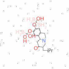 BC(B)(O)Oc1cc2c(cc1OC(B)(O)O)C1CC(=O)C(CC(C)C)CN1CC2